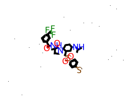 CSc1ccc(S(=O)(=O)CC2CC(NC(C)C)CCC2N2CCC(C)(NC(=O)c3cccc(C(F)(F)F)c3)C2=O)cc1